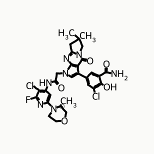 C[C@H]1COCCN1c1cc(NC(=O)Cn2cc(-c3cc(Cl)c(O)c(C(N)=O)c3)c3c(=O)n4c(nc32)CC(C)(C)C4)c(Cl)c(F)n1